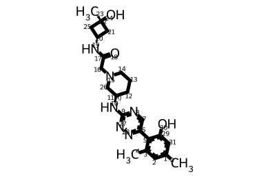 Cc1cc(C)c(-c2cnc(N[C@@H]3CCCN(CC(=O)N[C@H]4C[C@@](C)(O)C4)C3)nn2)c(O)c1